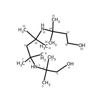 CC(C)(CO)NC(C)(C)CC(C)(C)NC(C)(C)CCO